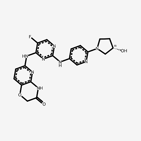 O=C1COc2ccc(Nc3nc(Nc4ccc(N5CC[C@H](O)C5)nc4)ncc3F)nc2N1